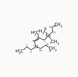 CCCN(C=C(C)C[Si](C)(C)CCC)CCC